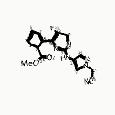 COC(=O)c1ccccc1-c1nc(Nc2cnn(CC#N)c2)ncc1F